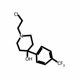 OC1(c2ccc(C(F)(F)F)cc2)CCN(CCCl)CC1